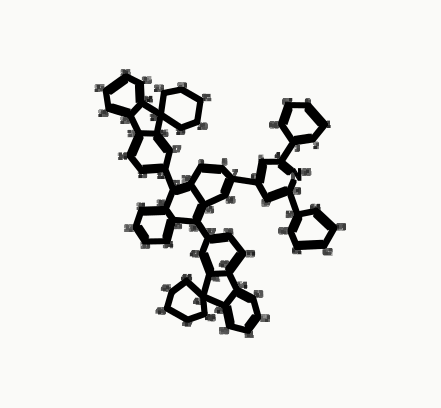 c1ccc(-c2cc(-c3ccc4c(-c5ccc6c(c5)C5(CCCCC5)c5ccccc5-6)c5ccccc5c(-c5ccc6c(c5)C5(CCCCC5)c5ccccc5-6)c4c3)cc(-c3ccccc3)n2)cc1